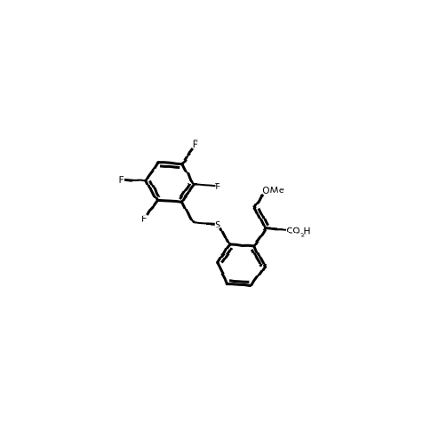 COC=C(C(=O)O)c1ccccc1SCc1c(F)c(F)cc(F)c1F